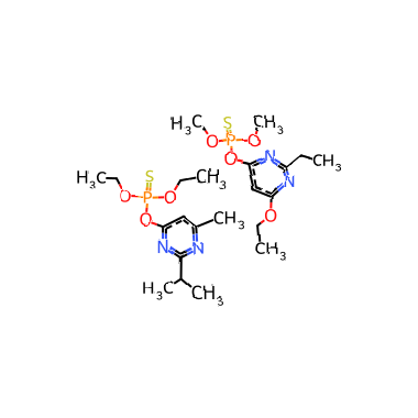 CCOP(=S)(OCC)Oc1cc(C)nc(C(C)C)n1.CCOc1cc(OP(=S)(OC)OC)nc(CC)n1